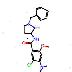 COc1cc(N(C)C)c(Cl)cc1C(=O)NC1CCN(Cc2ccccc2)C1C